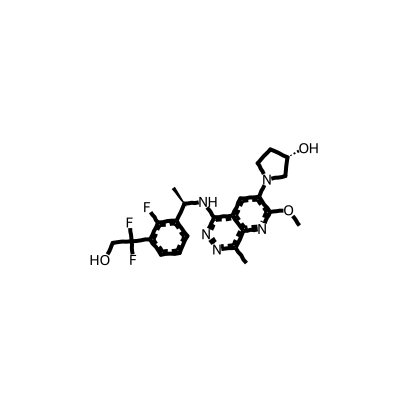 COc1nc2c(C)nnc(N[C@H](C)c3cccc(C(F)(F)CO)c3F)c2cc1N1CC[C@H](O)C1